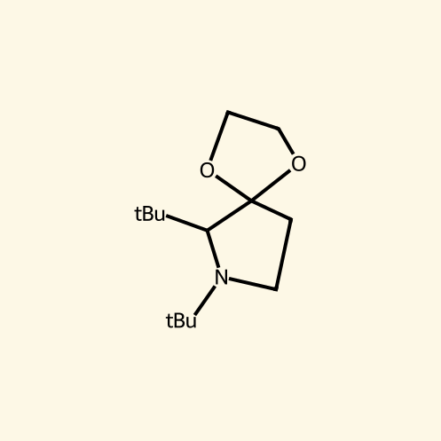 CC(C)(C)C1N(C(C)(C)C)CCC12OCCO2